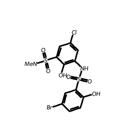 CNS(=O)(=O)c1cc(Cl)cc(NS(=O)(=O)c2cc(Br)ccc2O)c1O